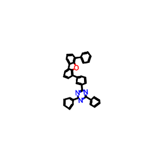 c1ccc(-c2nc(-c3ccccc3)nc(-c3cccc(-c4cccc5c4oc4c(-c6ccccc6)cccc45)c3)n2)cc1